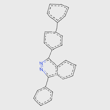 c1ccc(-c2ccc(-c3nnc(-c4ccccc4)c4ccccc34)cc2)cc1